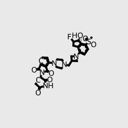 CS(=O)(=O)c1ccc(N2CC(CN3CCN(c4cccc5c4C(=O)N(C4CCC(=O)NC4=O)C5=O)CC3)C2)c2c1[C@H](O)C(F)C2